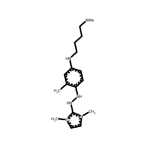 CNCCCCNc1ccc(NNc2n(C)cc[n+]2C)c(C)c1